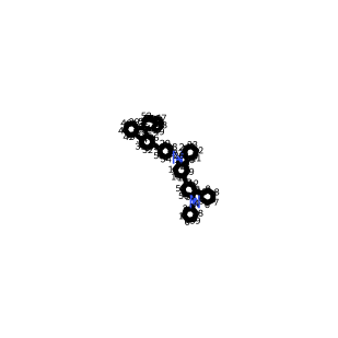 c1ccc(-n2c3ccccc3c3cc(-c4ccc5c(c4)c4ccccc4n5-c4ccc(-c5ccc6c(c5)C5(c7ccccc7-6)C6CC7CC(C6)CC5C7)cc4)ccc32)cc1